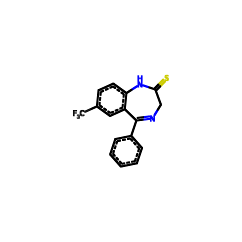 FC(F)(F)c1ccc2c(c1)C(c1ccccc1)=NCC(=S)N2